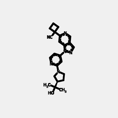 CC(C)(O)[C@@H]1CCN(c2cc(-n3ncc4cnc(C5(C#N)CCC5)cc43)ccn2)C1